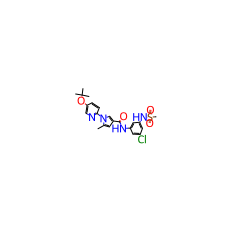 Cc1cc(C(=O)Nc2cc(Cl)cc(NS(C)(=O)=O)c2)cn1-c1ccc(OC(C)(C)C)cn1